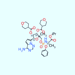 CC(C)OC(=O)[C@H](C)NP(=O)(OC[C@@]1(C)O[C@@H](c2ccc3c(N)ncnn23)[C@H](OC(=O)C2CCOCC2)[C@@H]1OC(=O)C1CCOCC1)Oc1ccccc1